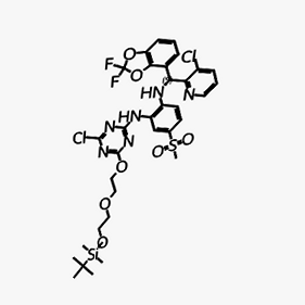 CC(C)(C)[Si](C)(C)OCCOCCOc1nc(Cl)nc(Nc2cc(S(C)(=O)=O)ccc2N[C@@H](c2cccc3c2OC(F)(F)O3)c2ncccc2Cl)n1